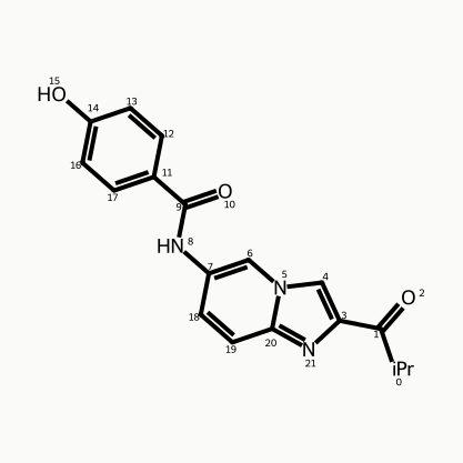 CC(C)C(=O)c1cn2cc(NC(=O)c3ccc(O)cc3)ccc2n1